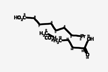 CC(=O)O.CC(C)CCCCCCC(=O)O.CCCC(=O)O